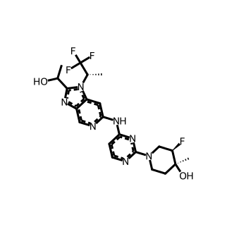 CC(O)c1nc2cnc(Nc3ccnc(N4CC[C@](C)(O)[C@H](F)C4)n3)cc2n1[C@@H](C)C(F)(F)F